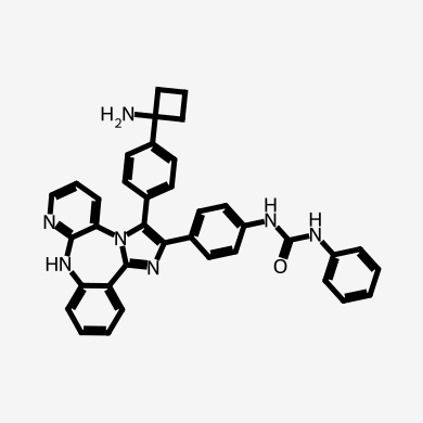 NC1(c2ccc(-c3c(-c4ccc(NC(=O)Nc5ccccc5)cc4)nc4n3-c3cccnc3Nc3ccccc3-4)cc2)CCC1